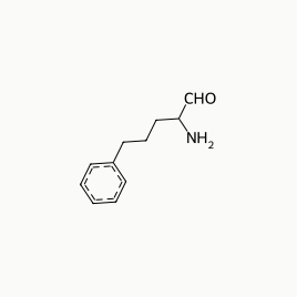 NC(C=O)CCCc1ccccc1